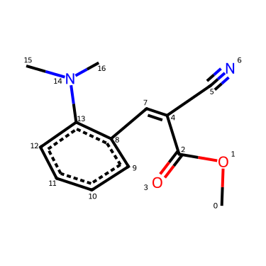 COC(=O)C(C#N)=Cc1ccccc1N(C)C